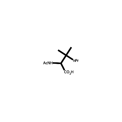 CCCC(C)(C)C(NC(C)=O)C(=O)O